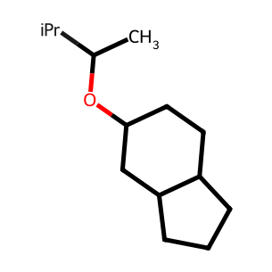 CC(C)C(C)OC1CCC2CCCC2C1